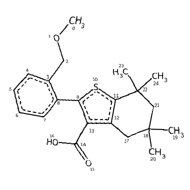 COCc1ccccc1-c1sc2c(c1C(=O)O)CC(C)(C)CC2(C)C